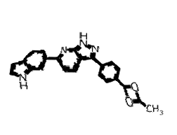 CC1OC(c2ccc(-c3n[nH]c4nc(-c5ccc6cc[nH]c6c5)ccc34)cc2)O1